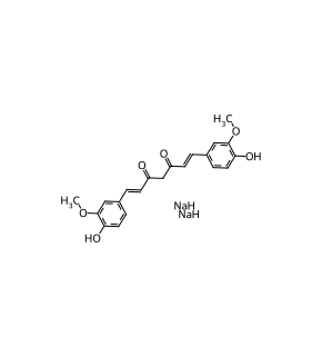 COc1cc(/C=C/C(=O)CC(=O)/C=C/c2ccc(O)c(OC)c2)ccc1O.[NaH].[NaH]